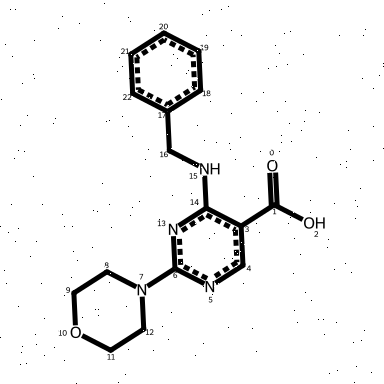 O=C(O)c1cnc(N2CCOCC2)nc1NCc1ccccc1